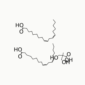 CC(CO)(CO)C(=O)O.CCCCC/C=C\C/C=C\CCCCCCCC(=O)O.CCCCC/C=C\C/C=C\CCCCCCCC(=O)O